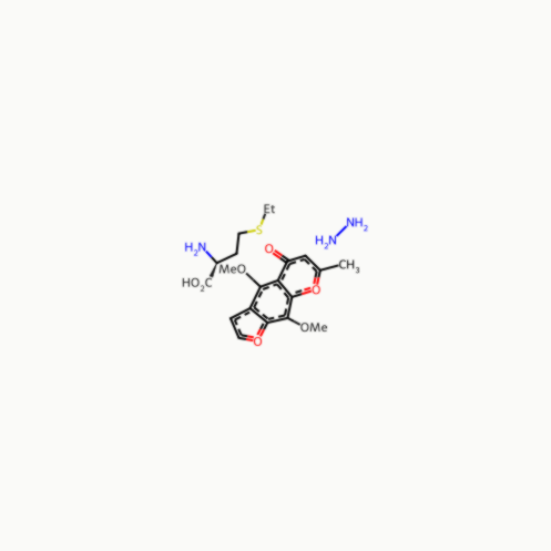 CCSCC[C@H](N)C(=O)O.COc1c2occc2c(OC)c2c(=O)cc(C)oc12.NN